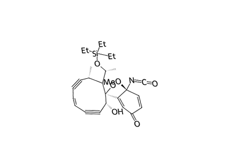 CC[Si](CC)(CC)O[C@H](C)[C@@]12O[C@@]1(C1=CC(=O)C=C[C@]1(N=C=O)OC)[C@H](O)C#C/C=C\C#C[C@@H]2C